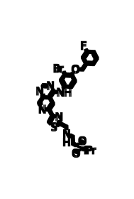 CC(C)S(=O)(=O)CCNCc1nc(-c2cc3c(Nc4ccc(OCc5cccc(F)c5)c(Br)c4)ncnc3cn2)cs1